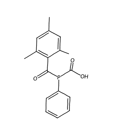 Cc1cc(C)c(C(=O)P(C(=O)O)c2ccccc2)c(C)c1